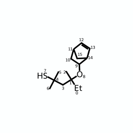 CCC(C)(CC(C)(C)S)OC1CC2C=CC1C2